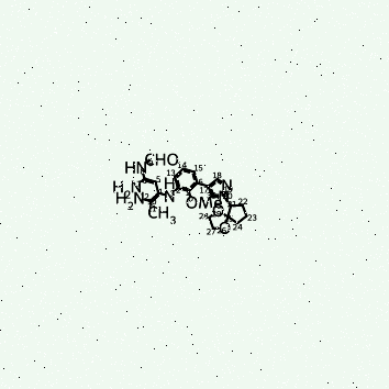 COc1c(NC(/C=C(\N)NC=O)=C(\C)N)cccc1-c1cnn(C2CCCC23OCCO3)c1